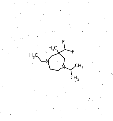 CCN1CCN(C(C)C)CC(C)(C(F)F)C1